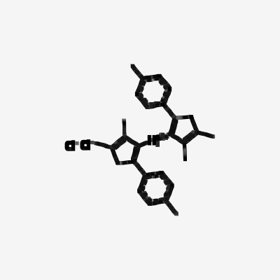 CC1=C(C)[C]([Hf+2][C]2=C(c3ccc(C)cc3)CC(C)=C2C)=C(c2ccc(C)cc2)C1.[Cl-].[Cl-]